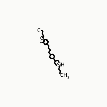 CCCCC[SiH]1CCC(C2CCC(CCCCc3ccc(OCCCCl)c(F)c3)CC2)CC1